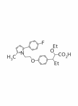 CCOC(C(=O)O)C(CC)c1ccc(OCCn2c(C)ccc2-c2ccc(F)cc2)cc1